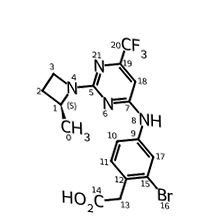 C[C@H]1CCN1c1nc(Nc2ccc(CC(=O)O)c(Br)c2)cc(C(F)(F)F)n1